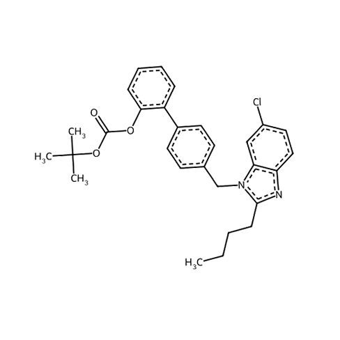 CCCCc1nc2ccc(Cl)cc2n1Cc1ccc(-c2ccccc2OC(=O)OC(C)(C)C)cc1